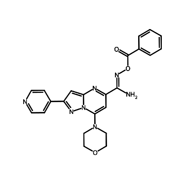 NC(=NOC(=O)c1ccccc1)c1cc(N2CCOCC2)n2nc(-c3ccncc3)cc2n1